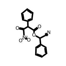 N#CC(OC(=O)C(C(=O)[N+](=O)[O-])c1ccccc1)c1ccccc1